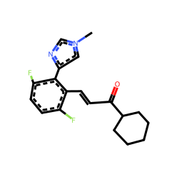 Cn1cnc(-c2c(F)ccc(F)c2/C=C/C(=O)C2CCCCC2)c1